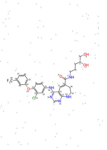 O=C(NCCCC(O)CO)C1=Cc2c(ncnc2Nc2ccc(Oc3cccc(C(F)(F)F)c3)c(Cl)c2)NCC1